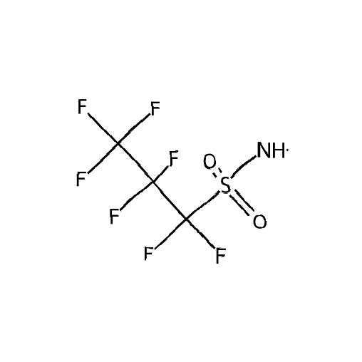 [NH]S(=O)(=O)C(F)(F)C(F)(F)C(F)(F)F